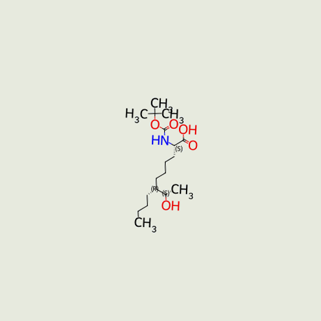 CCCC[C@H](CCCC[C@H](NC(=O)OC(C)(C)C)C(=O)O)[C@H](C)O